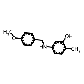 COc1ccc(CNc2ccc(C)c(O)c2)cc1